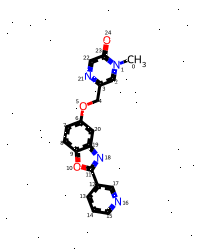 Cn1cc(COc2ccc3oc(-c4cccnc4)nc3c2)ncc1=O